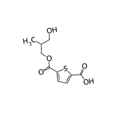 CC(CO)COC(=O)c1ccc(C(=O)O)s1